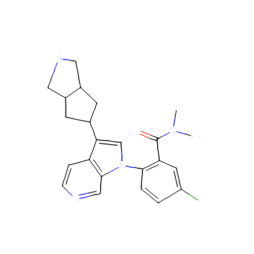 CC(C)N(C)C(=O)c1cc(F)ccc1-n1cc(C2CC3CNCC3C2)c2ccncc21